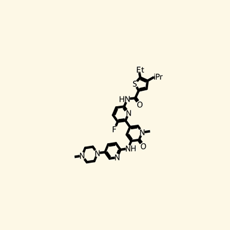 CCc1sc(C(=O)Nc2ccc(F)c(-c3cc(Nc4ccc(N5CCN(C)CC5)cn4)c(=O)n(C)c3)n2)cc1C(C)C